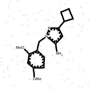 COc1ccc(Cn2nc(C3CCC3)cc2N)c(OC)c1